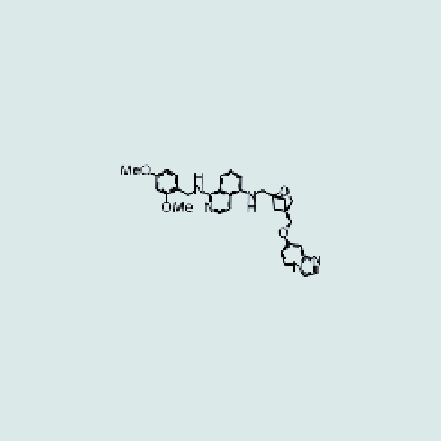 COc1ccc(CNc2nccc3c(NCC45CC(COc6ccn7ccnc7c6)(CO4)C5)cccc23)c(OC)c1